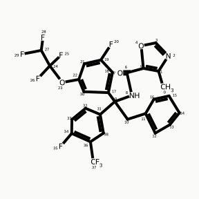 Cc1ncoc1C(=O)NC(Cc1ccccc1)(c1cc(F)cc(OC(F)(F)C(F)F)c1)c1ccc(F)c(C(F)(F)F)c1